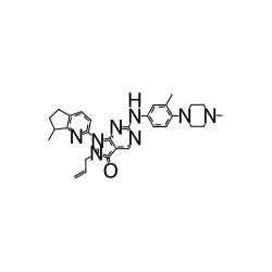 C=CCn1c(=O)c2cnc(Nc3ccc(N4CCN(C)CC4)c(C)c3)nc2n1-c1ccc2c(n1)C(C)CC2